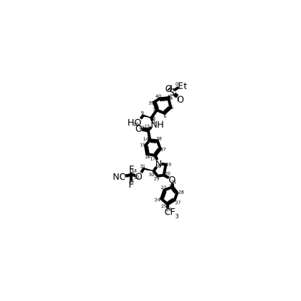 CCS(=O)(=O)c1ccc([C@H](CO)NC(=O)c2ccc(N3CC(Oc4ccc(C(F)(F)F)cc4)C[C@H]3COC(F)(F)C#N)cc2)cc1